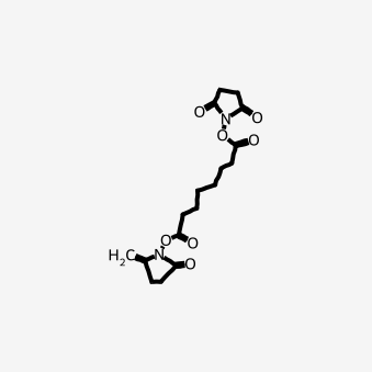 C=C1CCC(=O)N1OC(=O)CCCCCCC(=O)ON1C(=O)CCC1=O